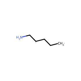 [CH2]CC[CH]CN